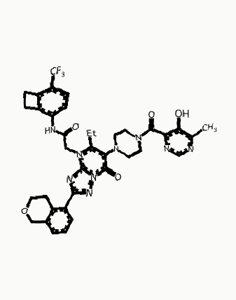 CCc1c(N2CCN(C(=O)c3ncnc(C)c3O)CC2)c(=O)n2nc(-c3cccc4c3CCOC4)nc2n1CC(=O)Nc1ccc(C(F)(F)F)c2c1CC2